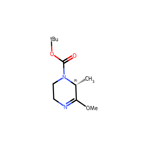 COC1=NCCN(C(=O)OC(C)(C)C)[C@@H]1C